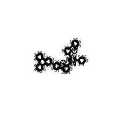 c1ccc(-c2nc(-c3cccc4c3oc3ccccc34)nc(-c3cccc4c3oc3cc(-c5ccc6c7ccccc7c7ccccc7c6c5)ccc34)n2)cc1